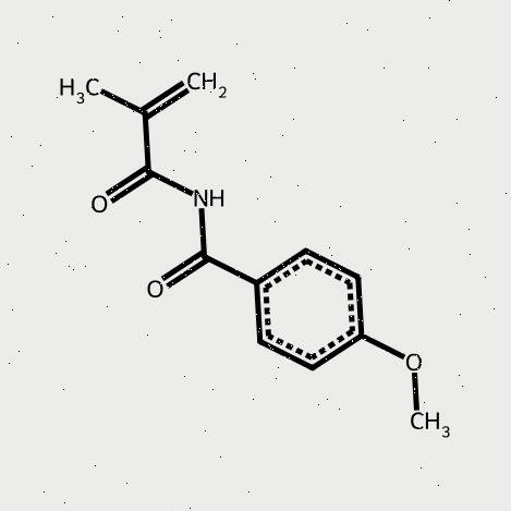 C=C(C)C(=O)NC(=O)c1ccc(OC)cc1